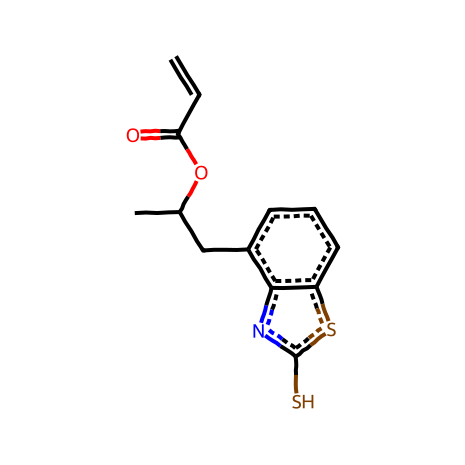 C=CC(=O)OC(C)Cc1cccc2sc(S)nc12